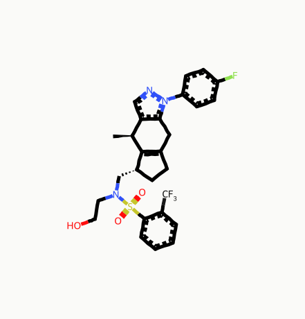 C[C@@H]1C2=C(CC[C@@H]2CN(CCO)S(=O)(=O)c2ccccc2C(F)(F)F)Cc2c1cnn2-c1ccc(F)cc1